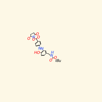 CC(C)(C)OC(=O)NCCc1ccc(O)c(/N=N/c2ccc(C(=O)ON3C(=O)CCC3=O)cc2)c1